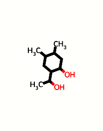 CC(O)C1CC(C)C(C)CC1O